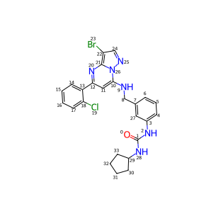 O=C(Nc1cccc(CNc2cc(-c3ccccc3Cl)nc3c(Br)cnn23)c1)NC1CCCC1